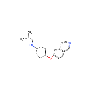 CC(C)CN[C@H]1CC[C@@H](Oc2ccc3cnccc3c2)CC1